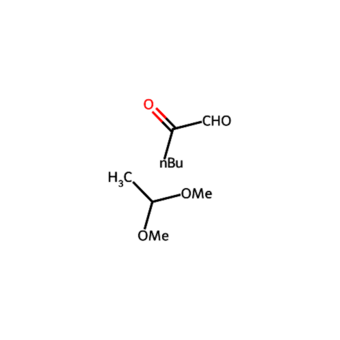 CCCCC(=O)C=O.COC(C)OC